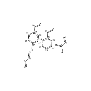 C=CC(=C)C.C=CC=C.C=Cc1ccc(C)cc1.C=Cc1ccccc1